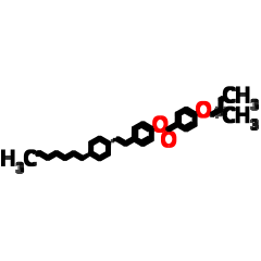 CCCCCCC[C@H]1CC[C@H](CCc2ccc(OC(=O)c3ccc(OC[C@@H](C)CC)cc3)cc2)CC1